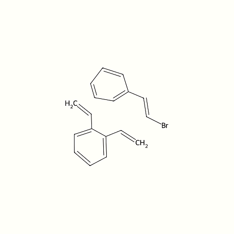 BrC=Cc1ccccc1.C=Cc1ccccc1C=C